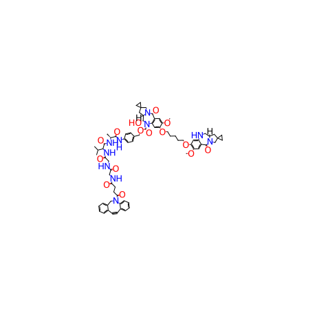 COc1cc2c(cc1OCCCCCOc1cc3c(cc1OC)C(=O)N1CC4(CC4)C[C@H]1[C@@H](O)N3C(=O)OCc1ccc(NC(=O)[C@H](C)NC(=O)[C@@H](NC(=O)CNC(=O)CNC(=O)CCC(=O)N3Cc4ccccc4C#Cc4ccccc43)C(C)C)cc1)NC[C@@H]1CC3(CC3)CN1C2=O